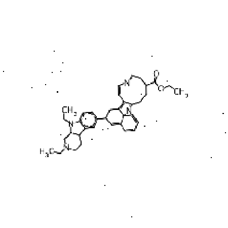 CCOC(=O)C1C/C=N/C=C\C2=C3CC(c4ccc5c(c4)C4CCN(CC)CC4N5CC)C=C4C=CC=CC43N=C2CC1